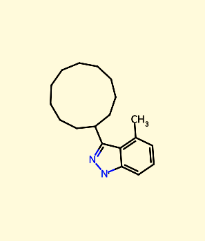 Cc1cccc2c1C(C1CCCCCCCCCC1)=N[N]2